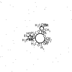 CCO[C@@H](O[C@@H]1[C@@H](C)[C@H](O[C@@H]2CC(C)(OC)C(O)[C@H](C)O2)[C@@H](C)C(=O)O[C@H](C)[C@@](C)(O)[C@H](O)[C@@H](C)C(=O)[C@H](C)C[C@@]1(C)O)C(O)C(CC)N(C)C